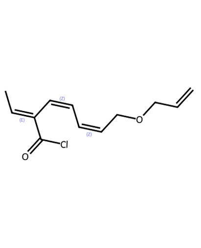 C=CCOC\C=C/C=C\C(=C/C)C(=O)Cl